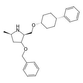 C[C@@H]1CC(OCc2ccccc2)[C@H](CO[C@H]2CC[C@@H](c3ccccc3)CC2)N1